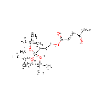 COC(=O)/C=C/C(=O)OCCC[Si](O[Si](C)(C)C)(O[Si](C)(C)C)O[Si](C)(C)C